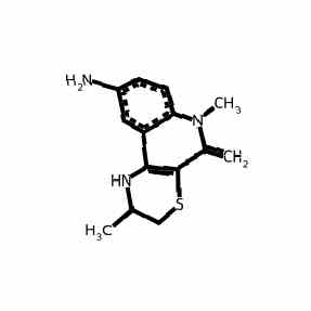 C=C1C2=C(NC(C)CS2)c2cc(N)ccc2N1C